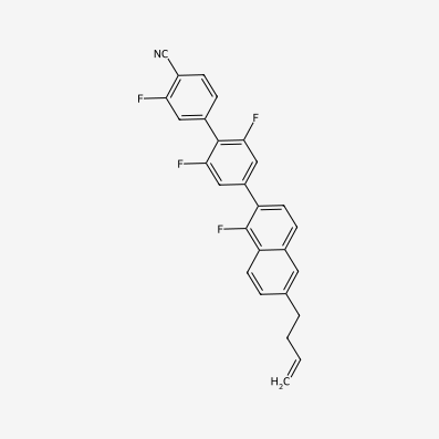 C=CCCc1ccc2c(F)c(-c3cc(F)c(-c4ccc(C#N)c(F)c4)c(F)c3)ccc2c1